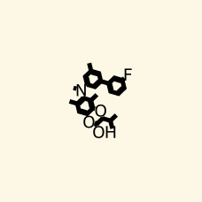 Cc1cc(-c2cccc(F)c2)cc(N(C)c2c(C)ccc(OC(C(=O)O)C(C)C)c2C)c1